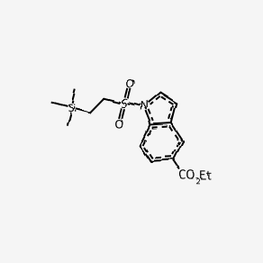 CCOC(=O)c1ccc2c(ccn2S(=O)(=O)CC[Si](C)(C)C)c1